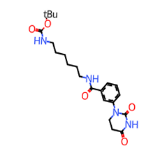 CC(C)(C)OC(=O)NCCCCCCNC(=O)c1cccc(N2CCC(=O)NC2=O)c1